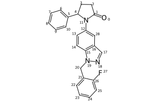 O=C1CCC(c2ccccc2)N1c1ccc2c(cnn2Cc2ccccc2F)c1